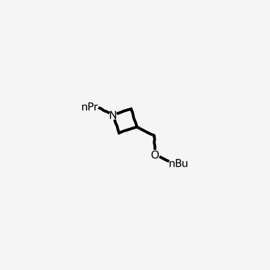 CCCCOCC1CN(CCC)C1